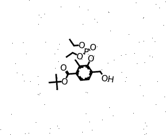 CCOP(=O)(OCC)Oc1c(CO)ccc(C(=O)OC(C)(C)C)c1C